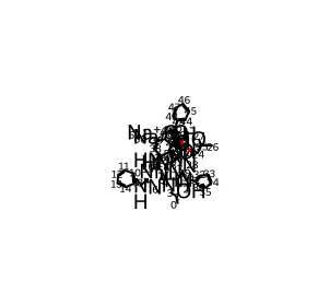 CC(O)CNc1nc(Nc2ccccc2)nc(NC2(Nc3nc(NCC(C)O)nc(Nc4ccccc4)n3)C=CC(C=Cc3ccccc3)C(S(=O)(=O)[O-])(S(=O)(=O)[O-])C2)n1.[Na+].[Na+]